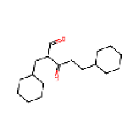 O=[C]C(CC1CCCCC1)C(=O)CCC1CCCCC1